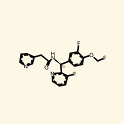 O=C(Cc1cccnc1)N[C@@H](c1ccc(OCF)c(F)c1)c1ncccc1F